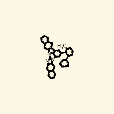 Cc1cccc(-c2ccccc2)c1-c1cc2c3cc4ccccc4cc3n3c2c(c1)n1c2cc4ccccc4cc2nc13